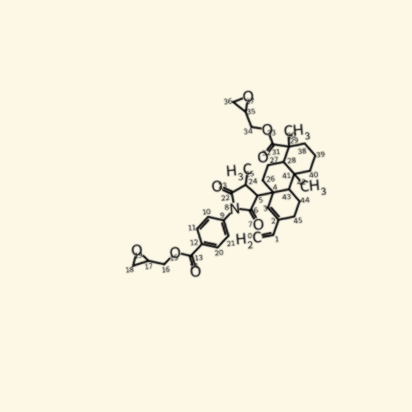 C=CC1=CC2(C3C(=O)N(c4ccc(C(=O)OCC5CO5)cc4)C(=O)C3C)CCC3C(C)(C(=O)OCC4CO4)CCCC3(C)C2CC1